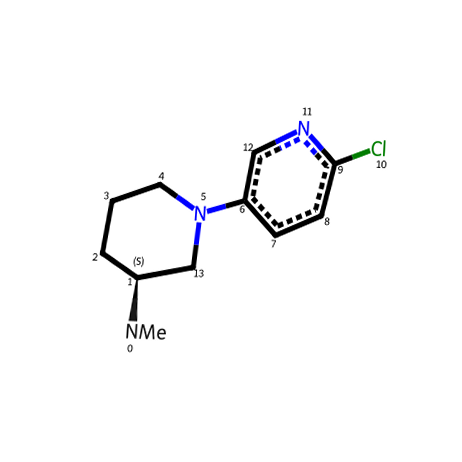 CN[C@H]1CCCN(c2ccc(Cl)nc2)C1